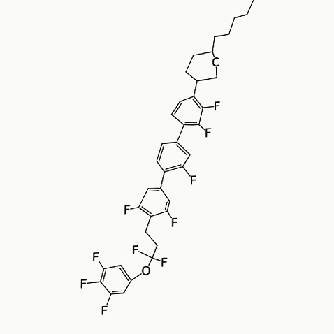 CCCCCC1CCC(c2ccc(-c3ccc(-c4cc(F)c(CCC(F)(F)Oc5cc(F)c(F)c(F)c5)c(F)c4)c(F)c3)c(F)c2F)CC1